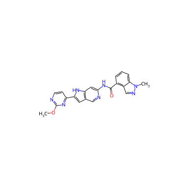 COc1nccc(-c2cc3cnc(NC(=O)c4cccc5c4cnn5C)cc3[nH]2)n1